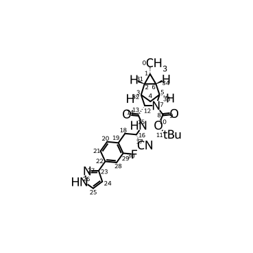 C[C@H]1[C@H]2[C@H]3C[C@@H]([C@@H]12)N(C(=O)OC(C)(C)C)[C@@H]3C(=O)N[C@H](C#N)Cc1ccc(-c2cc[nH]n2)cc1F